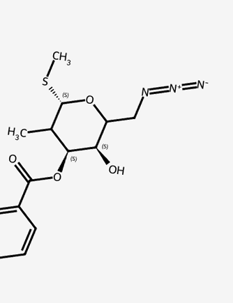 CS[C@@H]1OC(CN=[N+]=[N-])[C@@H](O)[C@@H](OC(=O)c2ccccc2)C1C